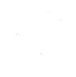 O=C1NCCC(c2ccc(Cl)c(Cl)c2)c2cc(N3CCOCC3)sc21